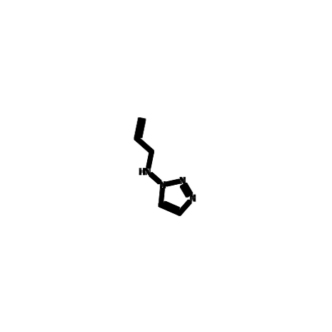 C=CCNn1ccnn1